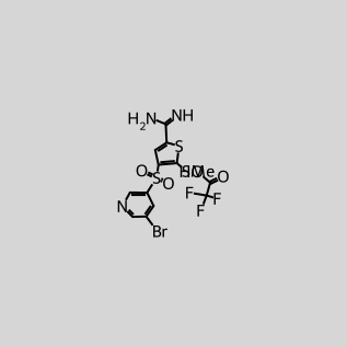 CSc1sc(C(=N)N)cc1S(=O)(=O)c1cncc(Br)c1.O=C(O)C(F)(F)F